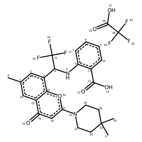 Cc1cc(C(Nc2ccccc2C(=O)O)C(F)(F)F)c2oc(N3CCC(C)(C)CC3)cc(=O)c2c1.O=C(O)C(F)(F)F